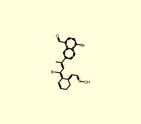 C\C(=C/C(Br)=C1/C=CCC/C1=C\C=N\O)c1ccc2c(Br)ccc(C=O)c2c1